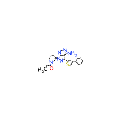 C=CC(=O)N1CCC[C@@H](n2nc(-c3cc(-c4ccccc4)cs3)c3c(N)ncnc32)C1